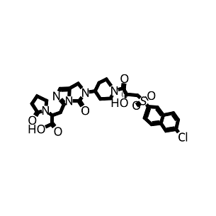 O=C(O)C(Cc1ncc2n1C(=O)N(C1CCN(C(=O)[C@H](O)CS(=O)(=O)c3ccc4cc(Cl)ccc4c3)CC1)C2)N1CCCC1=O